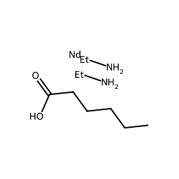 CCCCCC(=O)O.CCN.CCN.[Nd]